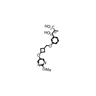 COc1ncc(OC2CC(COc3cccc([C@H](O)[C@H](C)C(=O)O)c3)C2)cn1